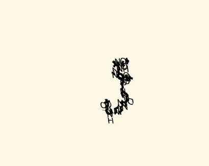 Cc1nn(C(=O)OC(C)(C)C)c(Nc2ncnc3cc(OCCCN4CCN(C(=O)c5cnc(N6CCN(C[C@H]7CN(C(=O)OC(C)(C)C)[C@@H](C)CN7)[C@H](C)C6)nc5)CC4)c(S(=O)(=O)C(C)(C)C)cc23)c1C